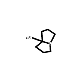 CCCC12CCCN1CCC2